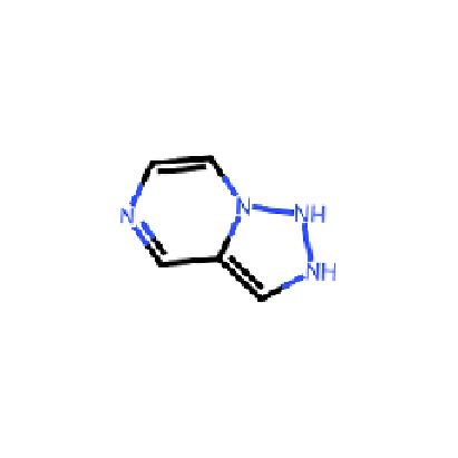 C1=CN2NNC=C2C=N1